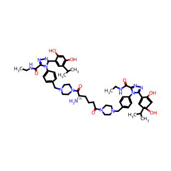 CCNC(=O)c1nnc(-c2cc(C(C)C)c(O)cc2O)n1-c1ccc(CN2CCN(C(=O)CCC[C@H](N)C(=O)N3CCN(Cc4ccc(-n5c(C(=O)NCC)nnc5-c5cc(C(C)C)c(O)cc5O)cc4)CC3)CC2)cc1